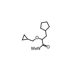 CNC(=O)C(CC1CCCC1)OCC1CC1